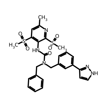 Cc1cc(S(C)(=O)=O)c(NC(=O)N(Cc2ccccc2)Cc2cccc(-c3cc[nH]n3)c2)c(S(C)(=O)=O)n1